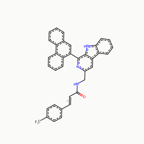 O=C(/C=C/c1ccc(C(F)(F)F)cc1)NCc1cc2c([nH]c3ccccc32)c(-c2cc3ccccc3c3ccccc23)n1